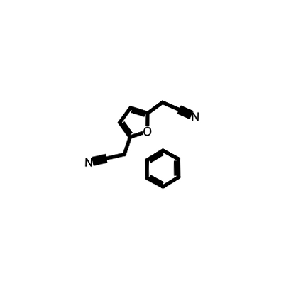 N#CCc1ccc(CC#N)o1.c1ccccc1